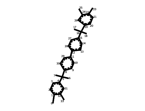 Cc1ccc(C(C)(C)c2ccc(-c3ccc(C(C)(C)c4ccc(C)c(C)c4)cc3)cc2)cc1C